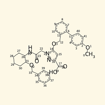 COc1ccc(-c2ccccc2COc2cc(C(=O)O)nn2CC(=O)NC2CCCCC2OCc2ccccc2)cc1